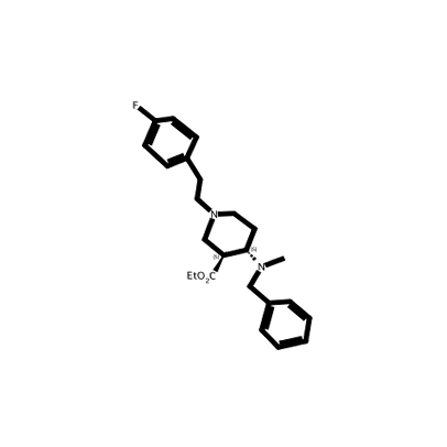 CCOC(=O)[C@H]1CN(CCc2ccc(F)cc2)CC[C@@H]1N(C)Cc1ccccc1